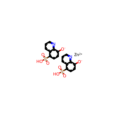 O=S(=O)(O)c1ccc([O-])c2ncccc12.O=S(=O)(O)c1ccc([O-])c2ncccc12.[Zn+2]